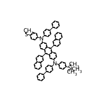 CSc1ccc(N(c2ccc(-c3ccccc3)cc2)c2ccc3c(-c4ccc5ccccc5c4)c4cc(N(c5ccc(-c6ccccc6)cc5)c5ccc([Si](C)(C)C)cc5)ccc4c(-c4ccc5ccccc5c4)c3c2)cc1